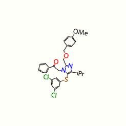 COc1ccc(COCc2nc(C(C)C)c(Sc3cc(Cl)cc(Cl)c3)n2CC(=O)c2ccccc2)cc1